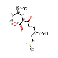 CCCCCC(CCSC(C)=O)CCC(=O)C1CC(CCCCC)CCOC1=O